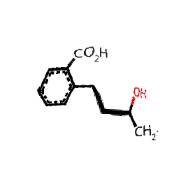 [CH2]C(O)CCc1ccccc1C(=O)O